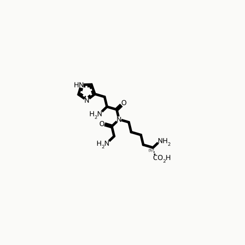 NCC(=O)N(CCCC[C@H](N)C(=O)O)C(=O)C(N)Cc1c[nH]cn1